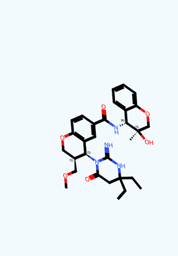 CCC1(CC)CC(=O)N([C@@H]2c3cc(C(=O)N[C@@H]4c5ccccc5OC[C@@]4(C)O)ccc3OC[C@@H]2COC)C(=N)N1